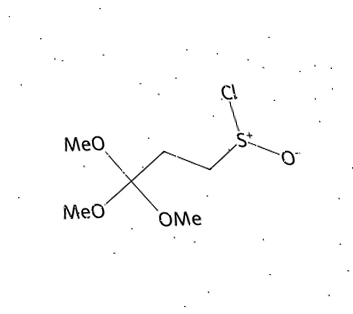 COC(CC[S+]([O-])Cl)(OC)OC